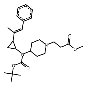 COC(=O)CCN1CCC(N(C(=O)OC(C)(C)C)C2CC2C(C)=Cc2ccccc2)CC1